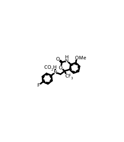 COc1cccc2c1NC(=O)OC2(CN(C(=O)O)c1ccc(F)cc1)C(F)(F)F